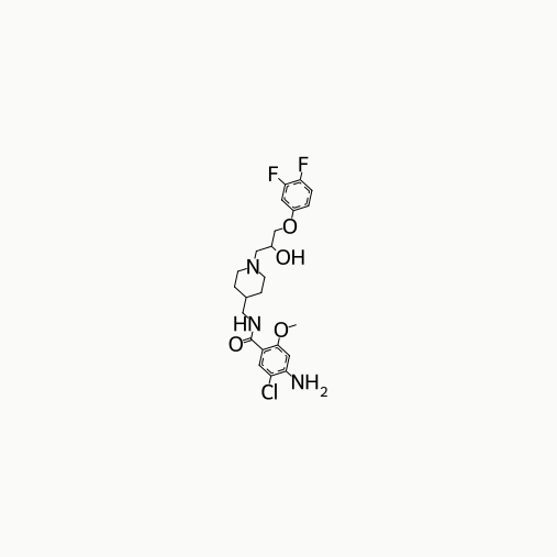 COc1cc(N)c(Cl)cc1C(=O)NCC1CCN(CC(O)COc2ccc(F)c(F)c2)CC1